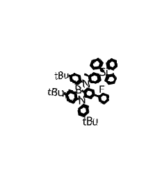 Cc1cc([Si](c2ccccc2)(c2ccccc2)c2ccccc2)ccc1N1c2ccc(C(C)(C)C)cc2B2c3cc(C(C)(C)C)ccc3N(c3ccc(C(C)(C)C)cc3)c3cc(-c4ccccc4F)cc1c32